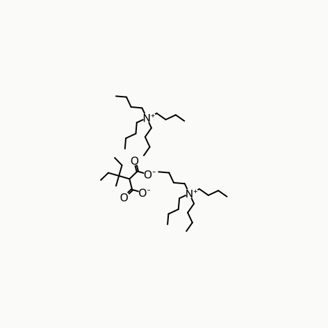 CCC(C)(CC)C(C(=O)[O-])C(=O)[O-].CCCC[N+](CCCC)(CCCC)CCCC.CCCC[N+](CCCC)(CCCC)CCCC